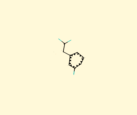 O[C@@H](c1cccc(F)c1)C(F)F